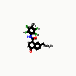 CCOC(=O)Cc1ccc2c(c1)C(C(=O)Nc1c(F)c(F)c(C(F)(F)F)c(F)c1F)CCC2=O